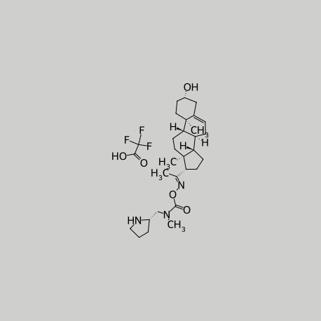 C/C(=N\OC(=O)N(C)C[C@@H]1CCCN1)[C@H]1CC[C@H]2[C@@H]3CC=C4C[C@@H](O)CC[C@]4(C)[C@H]3CC[C@]12C.O=C(O)C(F)(F)F